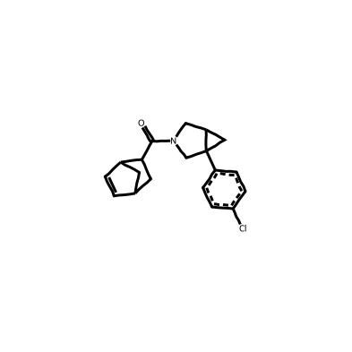 O=C(C1CC2C=CC1C2)N1CC2CC2(c2ccc(Cl)cc2)C1